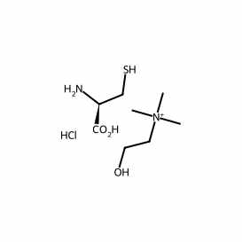 C[N+](C)(C)CCO.Cl.N[C@@H](CS)C(=O)O